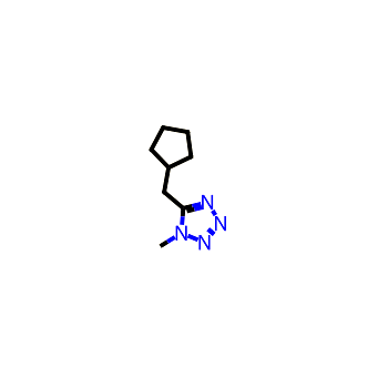 Cn1nnnc1CC1CCCC1